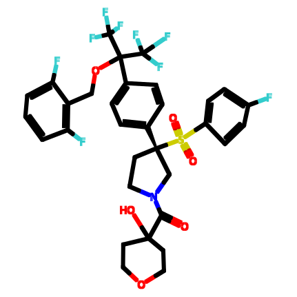 O=C(N1CC[C@](c2ccc(C(OCc3c(F)cccc3F)(C(F)(F)F)C(F)(F)F)cc2)(S(=O)(=O)c2ccc(F)cc2)C1)C1(O)CCOCC1